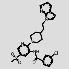 CS(=O)(=O)c1cnc(N2CCC(CCn3ccc4cccnc43)CC2)c(NC(=O)c2cccc(Cl)c2)c1